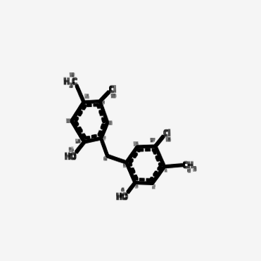 Cc1cc(O)c(Cc2cc(Cl)c(C)cc2O)cc1Cl